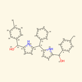 Cc1ccc(C(O)c2ccc(C(c3ccccc3)c3ccc(C(O)c4ccc(C)cc4)[nH]3)[nH]2)cc1